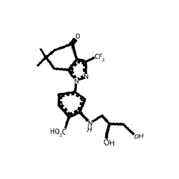 CC1(C)CC(=O)c2c(C(F)(F)F)nn(-c3ccc(C(=O)O)c(NCC(O)CO)c3)c2C1